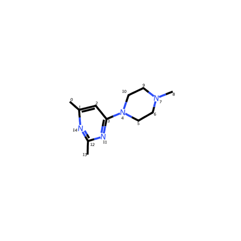 Cc1cc(N2CCN(C)CC2)nc(C)n1